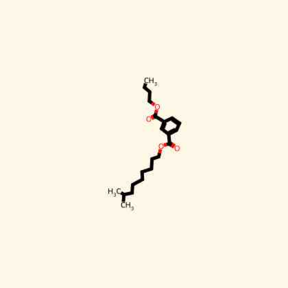 CCCCOC(=O)c1cccc(C(=O)OCCCCCCCC(C)C)c1